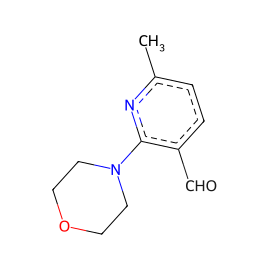 Cc1ccc(C=O)c(N2CCOCC2)n1